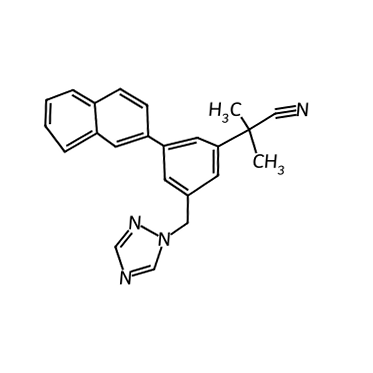 CC(C)(C#N)c1cc(Cn2cncn2)cc(-c2ccc3ccccc3c2)c1